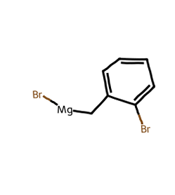 [Br][Mg][CH2]c1ccccc1Br